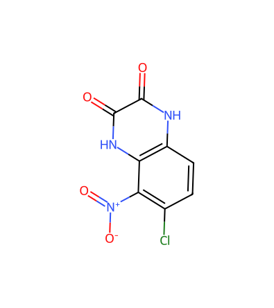 O=c1[nH]c2ccc(Cl)c([N+](=O)[O-])c2[nH]c1=O